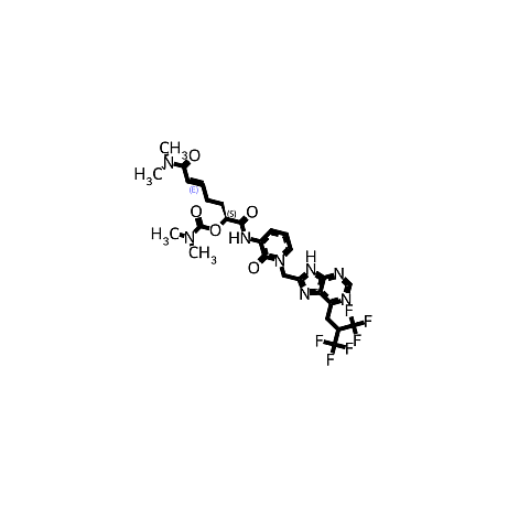 CN(C)C(=O)/C=C/CC[C@H](OC(=O)N(C)C)C(=O)Nc1cccn(Cc2nc3c(CC(C(F)(F)F)C(F)(F)F)ncnc3[nH]2)c1=O